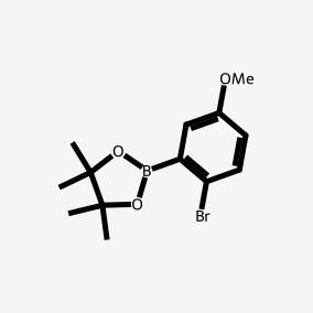 COc1ccc(Br)c(B2OC(C)(C)C(C)(C)O2)c1